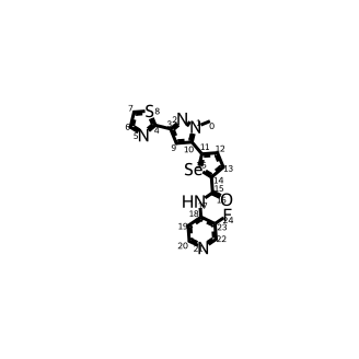 Cn1nc(-c2nccs2)cc1-c1ccc(C(=O)Nc2ccncc2F)[se]1